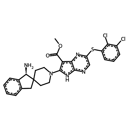 COC(=O)c1c(N2CCC3(CC2)Cc2ccccc2[C@H]3N)[nH]c2ncc(Sc3cccc(Cl)c3Cl)nc12